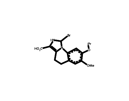 COc1cc2c(cc1OC(C)C)N1C(=C(C(=O)O)NC1Br)CC2